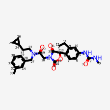 CNC(=O)Nc1ccc2c(c1)CC[C@@]21OC(=O)N(CC(=O)N(CCC2CC2)Cc2cccc(C)c2)C1=O